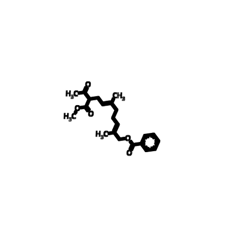 COC(=O)C(CC=C(C)CCC=C(C)COC(=O)c1ccccc1)C(C)=O